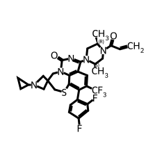 C=CC(=O)N1C[C@H](C)N(c2nc(=O)n3c4c(c(-c5ccc(F)cc5F)c(C(F)(F)F)cc24)SCC2(CN(C4CC4)C2)C3)C[C@H]1C